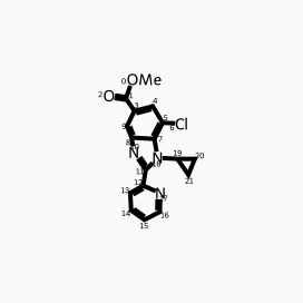 COC(=O)c1cc(Cl)c2c(c1)nc(-c1ccccn1)n2C1CC1